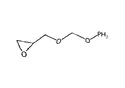 POCOCC1CO1